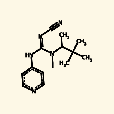 CC(N(I)C(=NC#N)Nc1ccncc1)C(C)(C)C